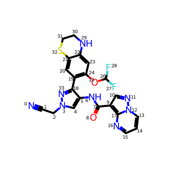 N#CCn1cc(NC(=O)c2cnn3cccnc23)c(-c2cc3c(cc2OC(F)F)NCCS3)n1